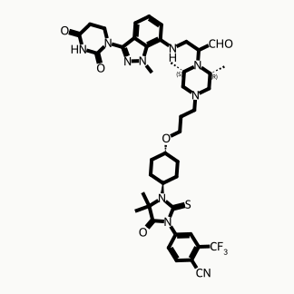 C[C@@H]1CN(CCCO[C@H]2CC[C@H](N3C(=S)N(c4ccc(C#N)c(C(F)(F)F)c4)C(=O)C3(C)C)CC2)C[C@H](C)N1C(C=O)CNc1cccc2c(N3CCC(=O)NC3=O)nn(C)c12